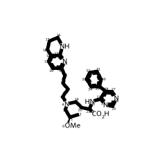 CO[C@H](C)CN(CCCCc1ccc2c(n1)NCCC2)CCC(Nc1ncncc1-c1ccccc1)C(=O)O